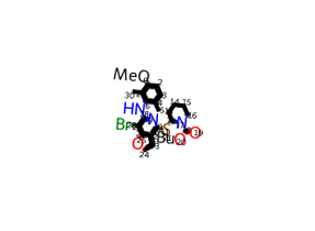 COc1ccc(C)c(Nc2nc(SC3CCCCN3C(=O)OC(C)(C)C)c3ccoc3c2Br)c1C